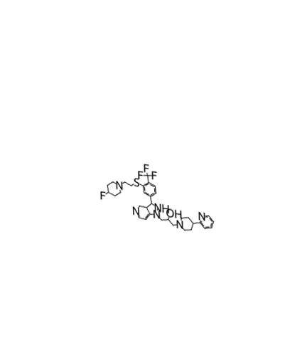 O[C@@H](CN1CCC(c2ccccn2)CC1)CN1NC(c2ccc(C(F)(F)F)c(SCCN3CCC(F)CC3)c2)C2CN=CC=C21